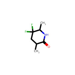 CC1CC(F)(F)C(C)NC1=O